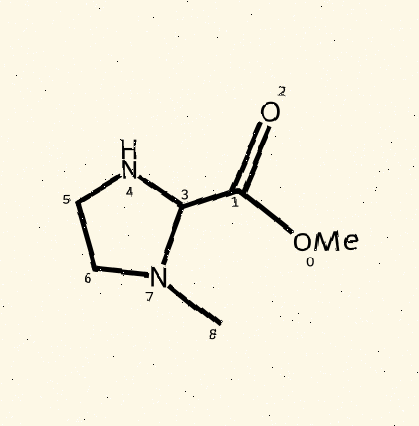 COC(=O)C1NCCN1C